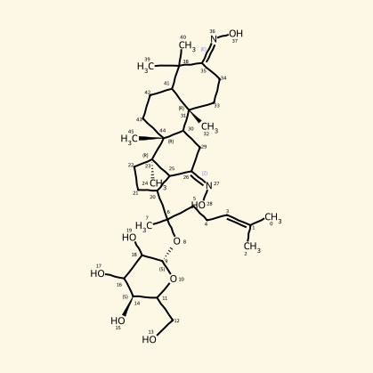 CC(C)=CCCC(C)(O[C@@H]1OC(CO)[C@@H](O)C(O)C1O)C1CC[C@]2(C)C1/C(=N\O)CC1[C@@]3(C)CC/C(=N\O)C(C)(C)C3CC[C@]12C